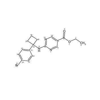 CCOC(=O)c1cnc(NC2(c3ccc(Br)cc3)CCC2)nc1